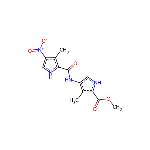 COC(=O)c1[nH]cc(NC(=O)c2[nH]cc([N+](=O)[O-])c2C)c1C